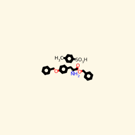 Cc1ccc(S(=O)(=O)O)cc1.N[C@@H](Cc1ccc(OCc2ccccc2)cc1)C(=O)OCc1ccccc1